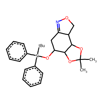 CC1(C)OC2C(O[Si](c3ccccc3)(c3ccccc3)C(C)(C)C)CC3=NOCC3C2O1